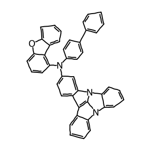 c1ccc(-c2ccc(N(c3ccc4c5c6ccccc6n6c7ccccc7n(c4c3)c56)c3cccc4oc5ccccc5c34)cc2)cc1